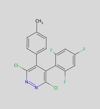 Cc1ccc(-c2c(Cl)nnc(Cl)c2-c2c(F)cc(F)cc2F)cc1